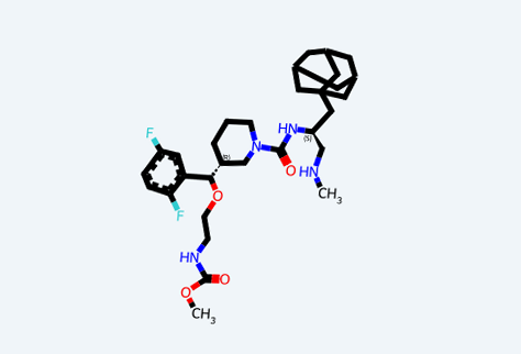 CNC[C@H](CC12CC3CC(CC(C3)C1)C2)NC(=O)N1CCC[C@@H](C(OCCNC(=O)OC)c2cc(F)ccc2F)C1